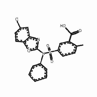 Cc1ccc(S(=O)(=O)N(c2ccccc2)c2nc3cc(Cl)ccc3o2)cc1C(=O)O